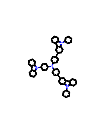 c1ccc(-n2c3ccccc3c3cc(-c4ccc(N(c5ccc(-c6ccc7c(c6)c6ccccc6n7-c6ccccc6)cc5)c5ccc(-n6c7ccccc7c7ccccc76)cc5)cc4)ccc32)cc1